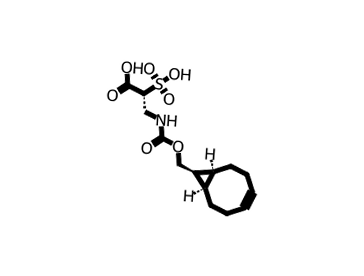 O=C(NC[C@H](C(=O)O)S(=O)(=O)O)OC[C@@H]1[C@@H]2CCC#CCC[C@@H]21